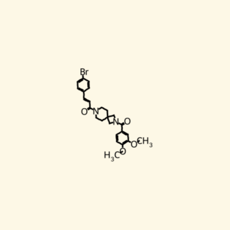 COc1ccc(C(=O)N2CC3(CCN(C(=O)C=Cc4ccc(Br)cc4)CC3)C2)cc1OC